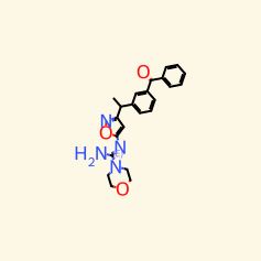 CC(c1cccc(C(=O)c2ccccc2)c1)c1cc(/N=C(\N)N2CCOCC2)on1